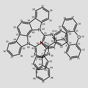 c1ccc(-c2cc(N3c4ccccc4Oc4ccccc43)nc(-n3c4ccccc4c4ccc5c6ccccc6n(-c6nc(-c7ccccc7)nc(-c7ccccc7)n6)c5c43)n2)cc1